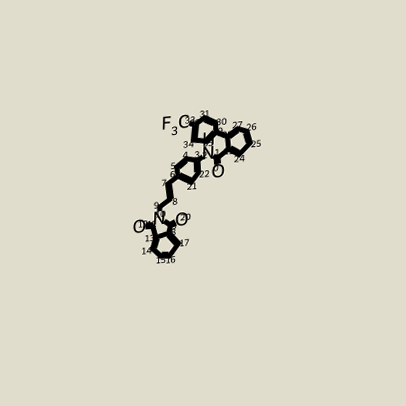 O=C(Nc1ccc(/C=C/CN2C(=O)c3ccccc3C2=O)cc1)c1ccccc1-c1ccc(C(F)(F)F)cc1